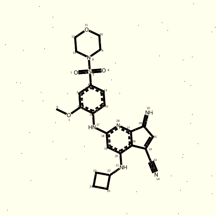 COc1cc(S(=O)(=O)N2CCOCC2)ccc1Nc1cc(NC2CCC2)c2c(n1)C(=N)C=C2C#N